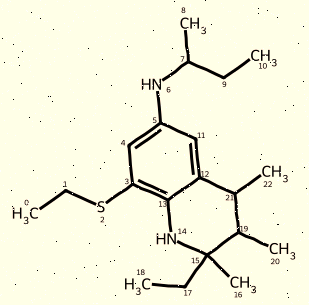 CCSc1cc(NC(C)CC)cc2c1NC(C)(CC)C(C)C2C